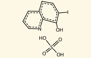 O=S(=O)(O)O.Oc1c(I)ccc2cccnc12